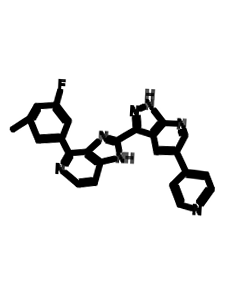 Cc1cc(F)cc(-c2nccc3[nH]c(-c4n[nH]c5ncc(-c6ccncc6)cc45)nc23)c1